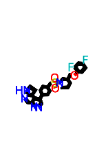 O=S(=O)(CC1CCC(c2cnnc3cnc4[nH]ccc4c23)CC1)N1CCCC(COc2ccc(F)cc2F)C1